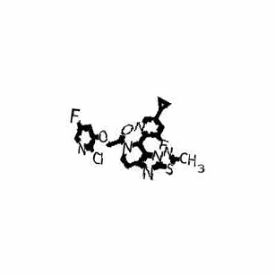 Cc1nn2c3c(nc2s1)CCN(C(=O)COc1cc(F)cnc1Cl)C3c1ncc(C2CC2)cc1F